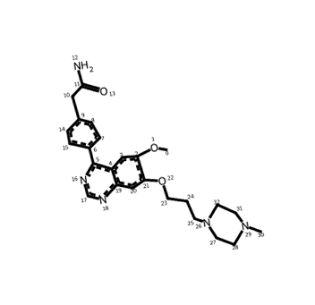 COc1cc2c(-c3ccc(CC(N)=O)cc3)ncnc2cc1OCCCN1CCN(C)CC1